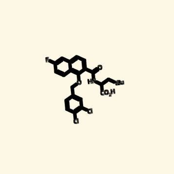 CC(C)(C)CC(NC(=O)c1ccc2cc(F)ccc2c1OCc1ccc(Cl)c(Cl)c1)C(=O)O